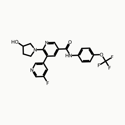 O=C(Nc1ccc(OC(F)(F)F)cc1)c1cnc(N2CCC(O)C2)c(-c2cncc(F)c2)c1